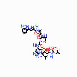 CC(C)C[C@H](NC(=O)C[C@H](O)[C@H](CC(C)C)NC(=O)[C@H](Cc1c[nH]cn1)NC(=O)CNC(=O)[C@@H](NC(=O)[C@H](C)NC(=O)[C@@H](N)Cc1c[nH]c2ccccc12)C(C)C)C(=O)O